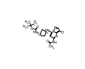 CC(=O)Nc1cc(N[C@@H]2CC[C@@H](NC(=O)OC(C)(C)C)C2)n2ncc(Cl)c2n1